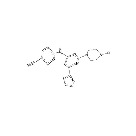 N#Cc1ccc(Nc2cc(-c3nccs3)nc(N3CCN(Cl)CC3)n2)cc1